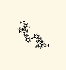 C[C@@H]1C[C@@H](O)CN1C(=O)[C@@H](NC(=O)CNCc1cccc(C#Cc2cc(NC(=O)Nc3cc(F)ncc3CO)ccn2)c1)C(C)(C)C